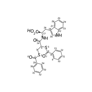 O=C(SCC(SC(=O)c1ccccc1)C(=O)N[C@H](Cc1c[nH]c2ccccc12)C(=O)O)c1ccccc1